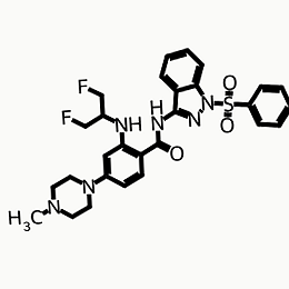 CN1CCN(c2ccc(C(=O)Nc3nn(S(=O)(=O)c4ccccc4)c4ccccc34)c(NC(CF)CF)c2)CC1